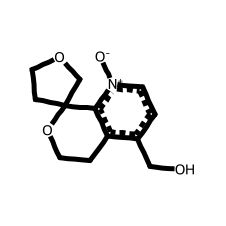 [O-][n+]1ccc(CO)c2c1C1(CCOC1)OCC2